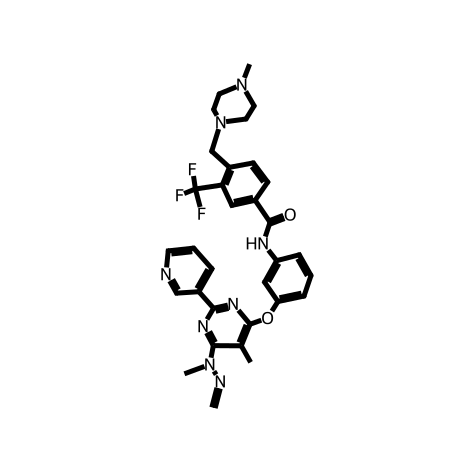 C=NN(C)c1nc(-c2cccnc2)nc(Oc2cccc(NC(=O)c3ccc(CN4CCN(C)CC4)c(C(F)(F)F)c3)c2)c1C